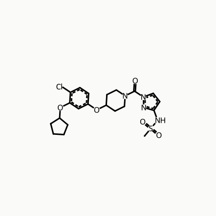 CS(=O)(=O)Nc1ccn(C(=O)N2CCC(Oc3ccc(Cl)c(OC4CCCC4)c3)CC2)n1